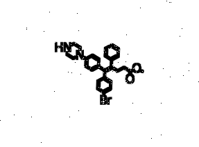 COC(=O)CC/C(=C(\c1ccc(Br)cc1)c1ccc(N2CCNCC2)cc1)c1ccccc1